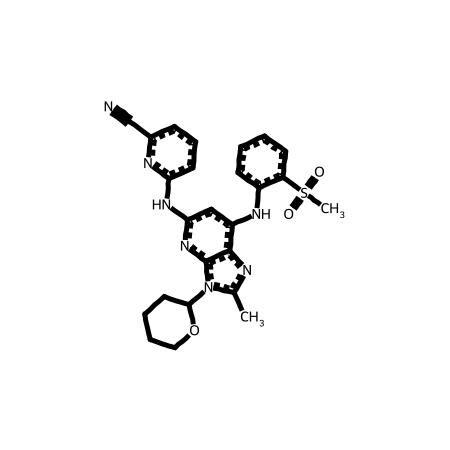 Cc1nc2c(Nc3ccccc3S(C)(=O)=O)cc(Nc3cccc(C#N)n3)nc2n1C1CCCCO1